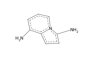 Nc1cccn2c(N)ccc12